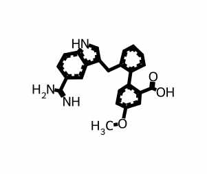 COc1ccc(-c2ccccc2Cc2c[nH]c3ccc(C(=N)N)cc23)c(C(=O)O)c1